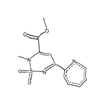 COC(=O)C1=CC(c2ccccn2)=NS(=O)(=O)N1C